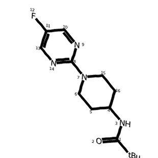 CC(C)(C)C(=O)NC1CCN(c2ncc(F)cn2)CC1